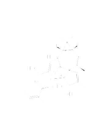 C/C=C(/C)C(=O)O[C@@H]1C(CO)=C[C@@H]2C(=O)C3(C=C(C)[C@H](O)[C@@]13O)[C@H](C)C[C@@H]1[C@H]2C1(C)C